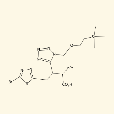 CCC[C@H](C(=O)O)[C@H](Cc1nnc(Br)s1)c1nnnn1COCC[Si](C)(C)C